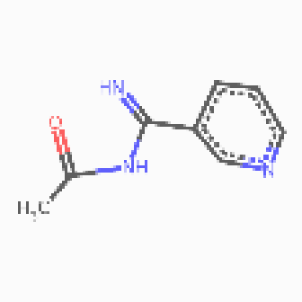 CC(=O)NC(=N)c1cccnc1